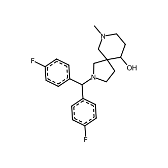 CN1CCC(O)C2(CCN(C(c3ccc(F)cc3)c3ccc(F)cc3)C2)C1